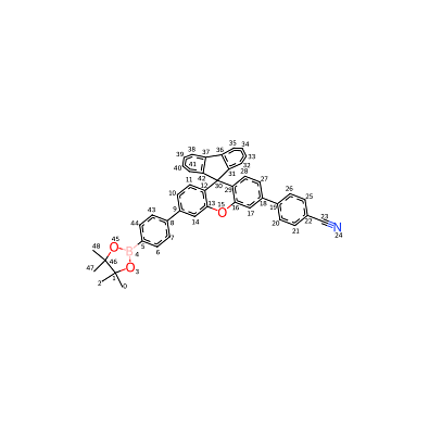 CC1(C)OB(c2ccc(-c3ccc4c(c3)Oc3cc(-c5ccc(C#N)cc5)ccc3C43c4ccccc4-c4ccccc43)cc2)OC1(C)C